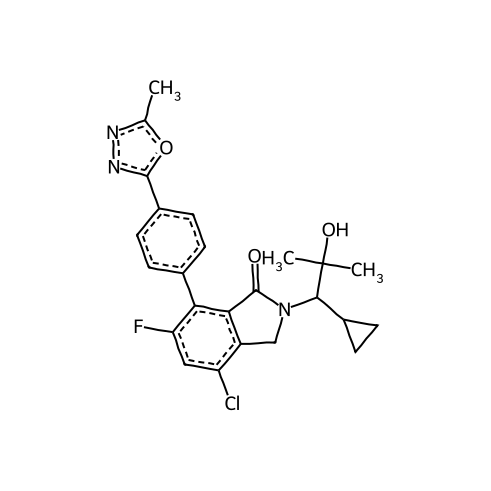 Cc1nnc(-c2ccc(-c3c(F)cc(Cl)c4c3C(=O)N(C(C3CC3)C(C)(C)O)C4)cc2)o1